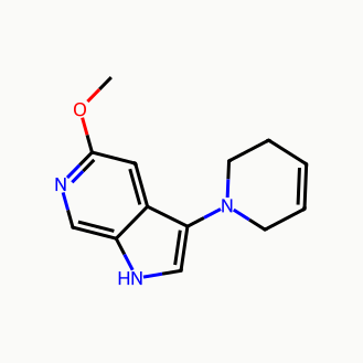 COc1cc2c(N3CC=CCC3)c[nH]c2cn1